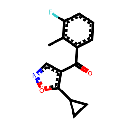 Cc1c(F)cccc1C(=O)c1cnoc1C1CC1